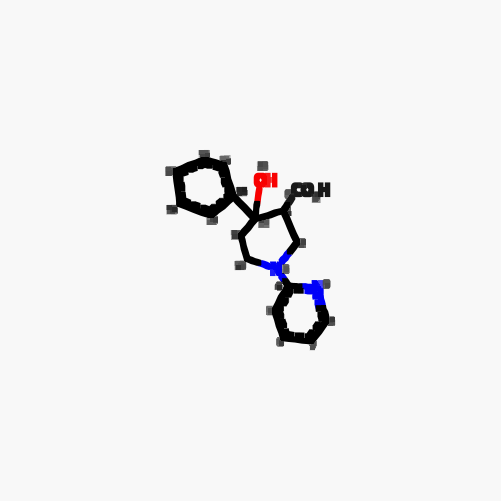 O=C(O)C1CN(c2ccccn2)CCC1(O)c1ccccc1